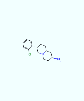 N[C@H]1CCN2C[C@H](c3ccccc3Cl)CCC2C1